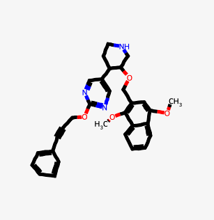 COc1cc(COC2CNCCC2c2cnc(OCC#Cc3ccccc3)nc2)c(OC)c2ccccc12